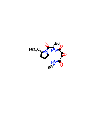 CCCNC(=O)[C@H]1O[C@@H]1C(=O)N[C@H](C(=O)N1CCC[C@H]1C(=O)O)C(C)CC